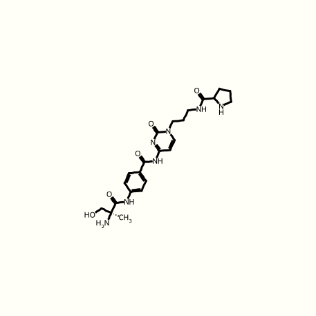 C[C@](N)(CO)C(=O)Nc1ccc(C(=O)Nc2ccn(CCCNC(=O)C3CCCN3)c(=O)n2)cc1